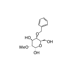 CO[C@@H]1[C@@H](O)[C@@H](OCc2ccccc2)[C@@H](CO)O[C@@H]1O